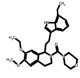 CCOc1cc2c(cc1OC)CCN(C(=O)N1CCOCC1)C2CCc1c[nH]c2c(CC)cccc12